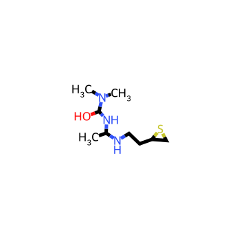 CC(NCCC1CS1)NC(O)N(C)C